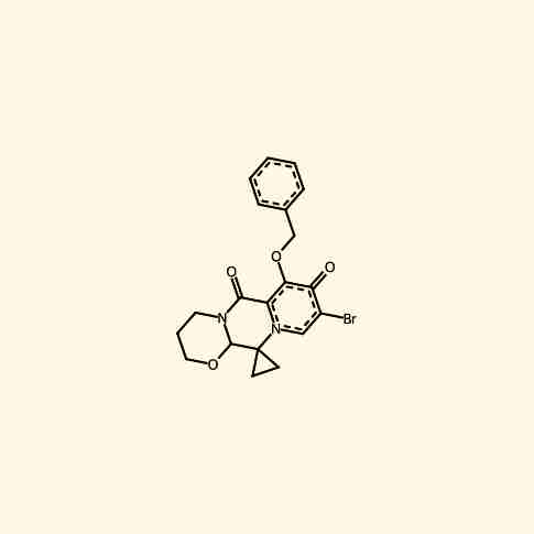 O=C1c2c(OCc3ccccc3)c(=O)c(Br)cn2C2(CC2)C2OCCCN12